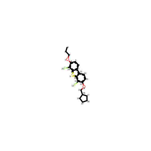 CCCOc1ccc2c(sc3c(F)c(OCC4CCCC4)ccc32)c1F